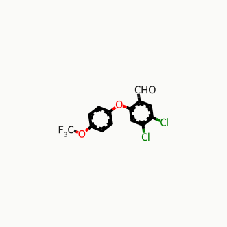 O=Cc1cc(Cl)c(Cl)cc1Oc1ccc(OC(F)(F)F)cc1